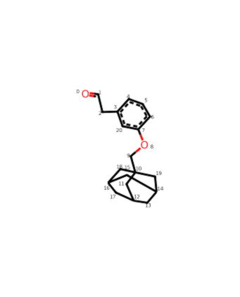 O=CCc1cccc(OCC23CC4CC(CC(C4)C2)C3)c1